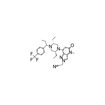 CCC(c1ccc(C(F)(F)F)cc1)N1C[C@H](CC)N(c2cc(=O)n(C)c3cn(CC#N)nc23)C[C@H]1CC